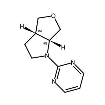 c1cnc(N2CC[C@@H]3COC[C@@H]32)nc1